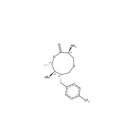 CCCC[C@@H]1[C@@H](Cc2ccc(C(F)(F)F)cc2)COC[C@H](N)C(=O)O[C@H]1C